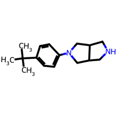 CC(C)(C)c1ccc(N2CC3CNCC3C2)cc1